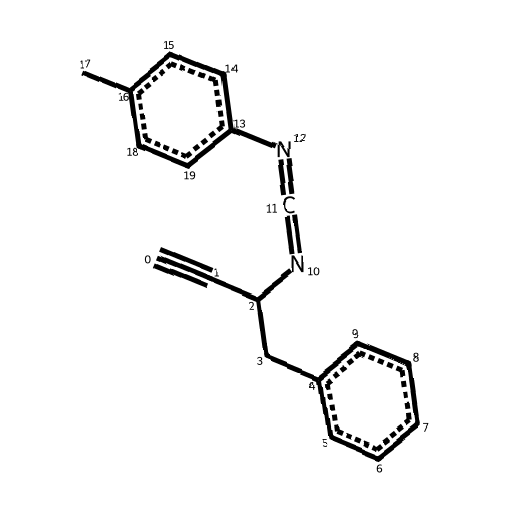 C#CC(Cc1ccccc1)N=C=Nc1ccc(C)cc1